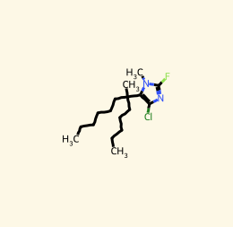 CCCCCCC(C)(CCCCC)c1c(Cl)nc(F)n1C